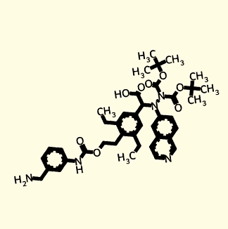 CCc1cc(C(C(=O)O)N(c2ccc3cnccc3c2)N(C(=O)OC(C)(C)C)C(=O)OC(C)(C)C)cc(CC)c1CCOC(=O)Nc1cccc(CN)c1